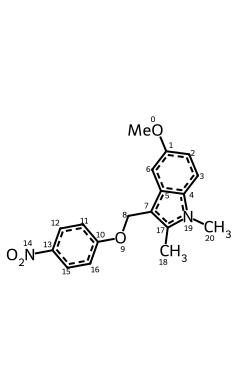 COc1ccc2c(c1)c(COc1ccc([N+](=O)[O-])cc1)c(C)n2C